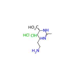 CC(=N)N[C@@H](CCCCN)C(=O)O.Cl.Cl